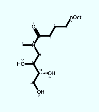 CCCCCCCCCCCC(=O)N(C)CC(O)[C@H](O)CO